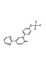 C=C1C=CC(c2ncccn2)=CN1c1ccc(OC(F)(F)F)cc1